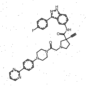 C#CC1(C(=O)Nc2ccc3[nH]nc(-c4ccc(F)cc4)c3c2)CCN(CC(=O)N2CCN(c3ccc(-c4ncccn4)cc3)CC2)C1